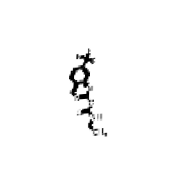 CCNC(=O)Oc1ncc2ccc(C(F)(F)F)cc2n1